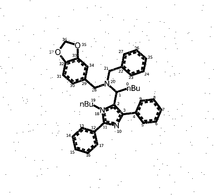 CCCCC(c1c(-c2ccccc2)nc(-c2ccccc2)n1CCCC)N(Cc1ccccc1)Cc1ccc2c(c1)OCO2